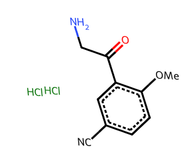 COc1ccc(C#N)cc1C(=O)CN.Cl.Cl